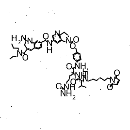 CCCN(CCC)C(=O)C1=Cc2ccc(C(=O)Nc3cnc4c(c3)CN(C(=O)OCc3ccc(NC(=O)[C@H](CCCNC(N)=O)NC(=O)[C@@H](NCCCCCCN5C(=O)C=CC5=O)C(C)C)cc3)CC4)cc2N=C(N)C1